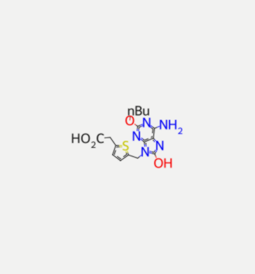 CCCCOc1nc(N)c2nc(O)n(Cc3ccc(CC(=O)O)s3)c2n1